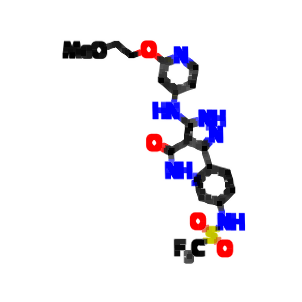 COCCOc1cc(Nc2[nH]nc(-c3ccc(NS(=O)(=O)C(F)(F)F)cc3)c2C(N)=O)ccn1